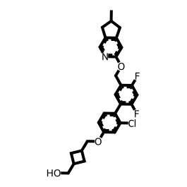 CC1Cc2cnc(OCc3cc(-c4ccc(OCC5CC(CO)C5)cc4Cl)c(F)cc3F)cc2C1